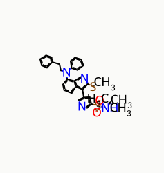 CSc1ncc2c(N(CCc3ccccc3)c3ccccc3)cccc2c1-c1cncc(S(=O)(=O)NC(C)(C)C)c1